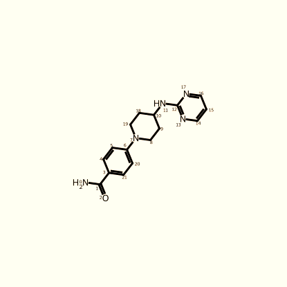 NC(=O)c1ccc(N2CCC(Nc3ncccn3)CC2)cc1